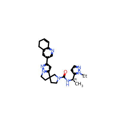 CCn1nccc1[C@@H](C)NC(=O)N1CCC2(CCn3nc(-c4cnc5c(c4)CCC=C5)cc32)C1